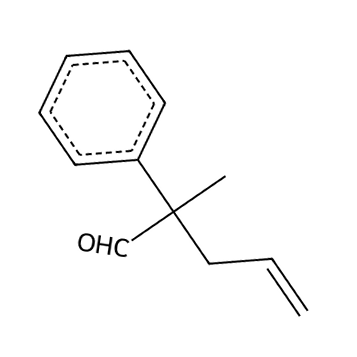 C=CCC(C)(C=O)c1ccccc1